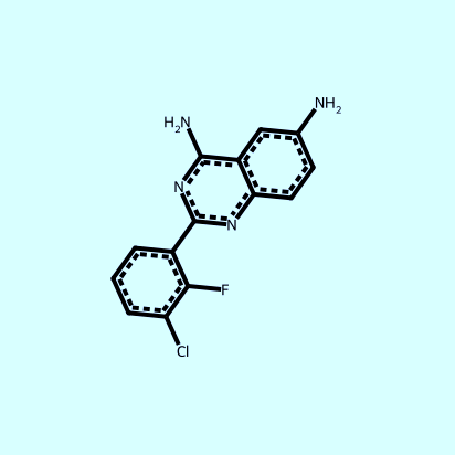 Nc1ccc2nc(-c3cccc(Cl)c3F)nc(N)c2c1